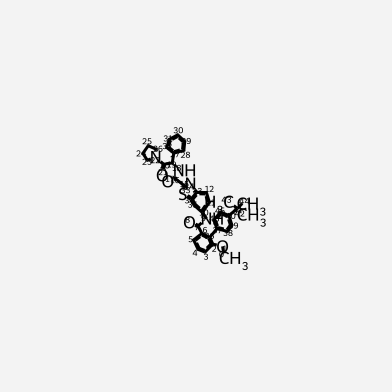 COc1cccc(C(=O)Nc2ccc3nc(C(=O)N[C@H](C(=O)N4CCCC4)c4ccccc4)sc3c2)c1-c1ccc(C(C)(C)C)cc1